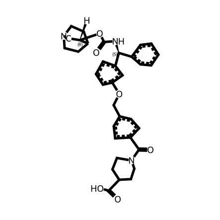 O=C(N[C@@H](c1ccccc1)c1cccc(OCc2ccc(C(=O)N3CCC(C(=O)O)CC3)cc2)c1)O[C@H]1CN2CCC1CC2